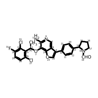 C[C@@H](Oc1c(N)ncc2c(-c3ccc(C4CCCN4C=O)cc3)coc12)c1c(Cl)ccc(F)c1Cl